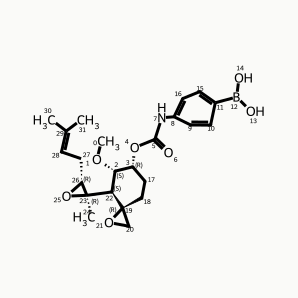 CO[C@@H]1[C@H](OC(=O)Nc2ccc(B(O)O)cc2)CC[C@]2(CO2)[C@H]1[C@@]1(C)O[C@@H]1CC=C(C)C